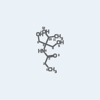 CCC(=O)NC(CO)(CO)C(C)O